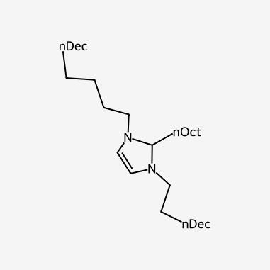 CCCCCCCCCCCCCCN1C=CN(CCCCCCCCCCCC)C1CCCCCCCC